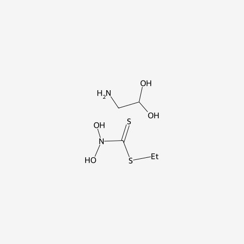 CCSC(=S)N(O)O.NCC(O)O